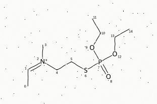 C/C=[N+](/C)CCSP(=O)(OCC)OCC